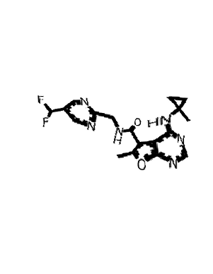 Cc1oc2ncnc(NC3(C)CC3)c2c1C(=O)NCc1ncc(C(F)F)cn1